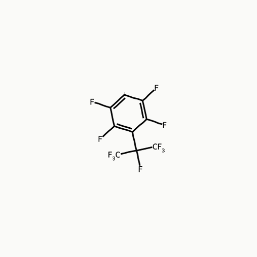 Fc1[c]c(F)c(F)c(C(F)(C(F)(F)F)C(F)(F)F)c1F